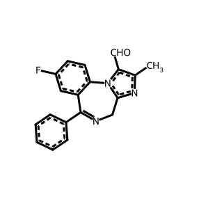 Cc1nc2n(c1C=O)-c1ccc(F)cc1C(c1ccccc1)=NC2